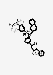 CN(C)c1ccc(S(=O)(=O)N(Cc2ccc3ccccc3c2)c2cccc(C(=O)CC(Cc3ccccc3)C(=O)O)c2)cc1C(F)(F)F